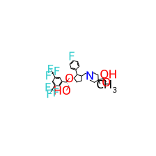 CC1(C(=O)O)CCN(CC2CCC(O[C@H](CO)c3cc(C(F)(F)F)cc(C(F)(F)F)c3)C2c2ccc(F)cc2)CC1